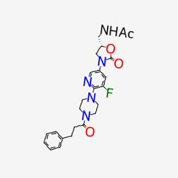 CC(=O)NC[C@H]1CN(c2cnc(N3CCN(C(=O)CCc4ccccc4)CC3)c(F)c2)C(=O)O1